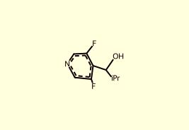 CC(C)C(O)c1c(F)cncc1F